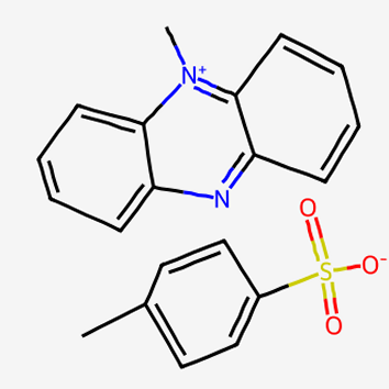 C[n+]1c2ccccc2nc2ccccc21.Cc1ccc(S(=O)(=O)[O-])cc1